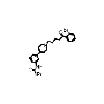 CC(C)C(=O)Nc1cccc(C2CCN(CCCCC(=O)c3ccccc3Br)CC2)c1